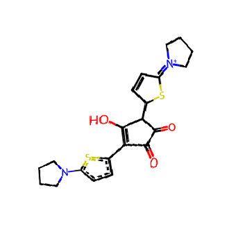 O=C1C(=O)C(C2C=CC(=[N+]3CCCC3)S2)C(O)=C1c1ccc(N2CCCC2)s1